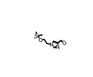 C[Si](C)(C)OCCn1cnc(C=O)c1